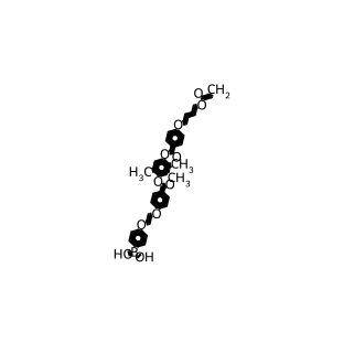 C=CC(=O)OCCCCOc1ccc(C(=O)Oc2cc(C)c(OC(=O)c3ccc(OCCOc4ccc(B(O)O)cc4)cc3)c(C)c2C)cc1